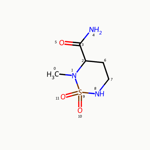 CN1C(C(N)=O)CCNS1(=O)=O